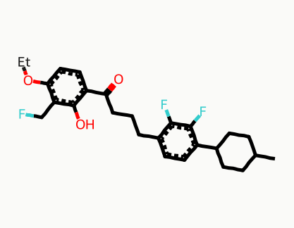 CCOc1ccc(C(=O)CCCc2ccc(C3CCC(C)CC3)c(F)c2F)c(O)c1CF